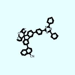 N#Cc1ccc(-c2ccc3c(c2)-c2cc(-c4ccc(-c5nc(-c6ccccc6)nc(-c6ccccc6)n5)cc4)ccc2C32c3ccccc3Oc3ccccc32)c2ccccc12